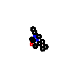 c1ccc(-c2cccc3cccc(-c4ccc(N(c5cccc6oc7ccccc7c56)c5cccc6c7cc8ccccc8cc7n(-c7ccccc7)c56)cc4)c23)cc1